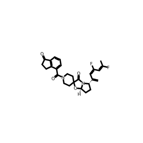 C=C(/C=C(F)\C=C(/C)F)[C@@H]1CC[C@H]2OC3(CCN(C(=O)c4cccc5c4CCC5=O)CC3)C(=O)N21